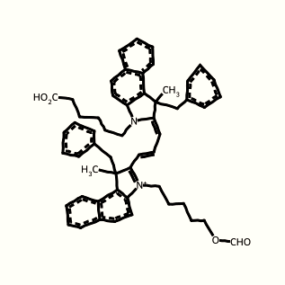 CC1(Cc2ccccc2)C(/C=C/C=C2\N(CCCCCC(=O)O)c3ccc4ccccc4c3C2(C)Cc2ccccc2)=[N+](CCCCCOC=O)c2ccc3ccccc3c21